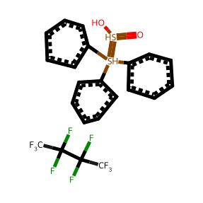 FC(F)(F)C(F)(F)C(F)(F)C(F)(F)F.O=[SH](O)=[SH](c1ccccc1)(c1ccccc1)c1ccccc1